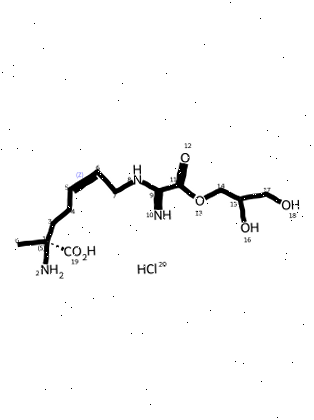 C[C@](N)(CC/C=C\CNC(=N)C(=O)OCC(O)CO)C(=O)O.Cl